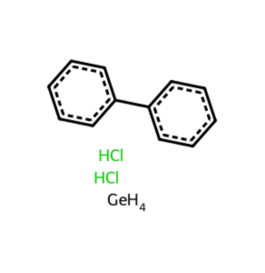 Cl.Cl.[GeH4].c1ccc(-c2ccccc2)cc1